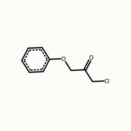 O=C(CCl)COc1ccccc1